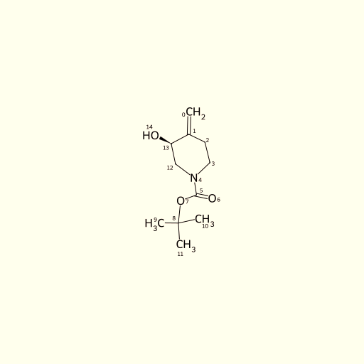 C=C1CCN(C(=O)OC(C)(C)C)C[C@H]1O